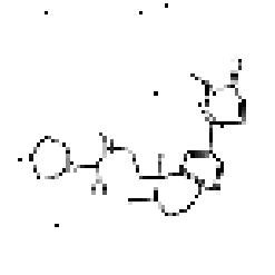 C[C@@H]1CCc2ccc(-c3ccc(=O)n(C)c3)cc2[C@]1(C)CCN(C)C(=O)N1CCCCC1